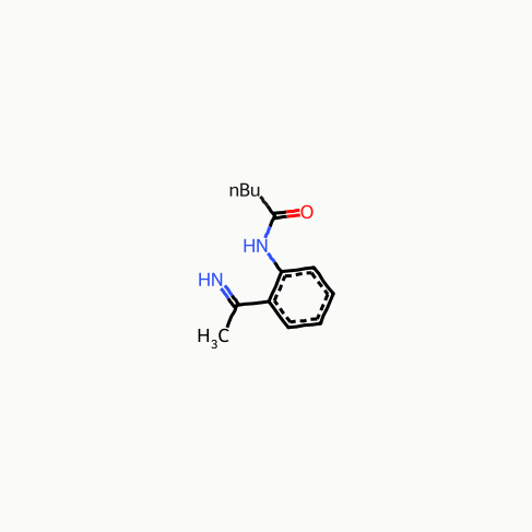 CCCCC(=O)Nc1ccccc1C(C)=N